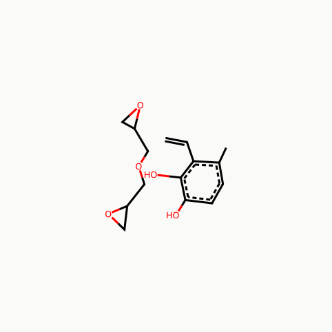 C(OCC1CO1)C1CO1.C=Cc1c(C)ccc(O)c1O